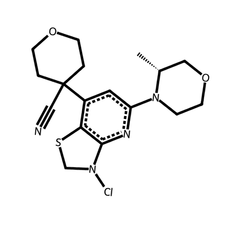 C[C@@H]1COCCN1c1cc(C2(C#N)CCOCC2)c2c(n1)N(Cl)CS2